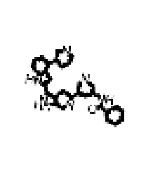 O=C(Nc1cncc(-c2cc3c(-c4cc5c(-c6cccnc6)cccc5[nH]4)n[nH]c3cn2)c1)c1ccccc1